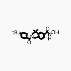 CC(C)(C)c1ccc(C(=O)N2Cc3ccc(C(=O)NO)cc3C(C)(C)C2)cc1